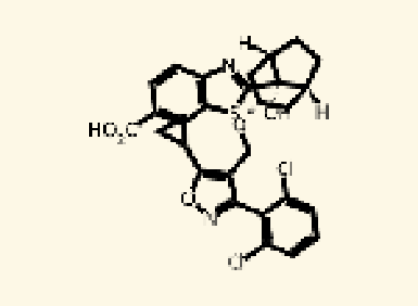 O=C(O)c1ccc2nc([C@]3(O)[C@@H]4CC[C@H]3C[C@@H](OCc3c(-c5c(Cl)cccc5Cl)noc3C3CC3)C4)sc2c1